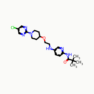 CC(C)(C)C(=O)Nc1ccc(NCCOC2CCN(c3ncc(Cl)cn3)CC2)cn1